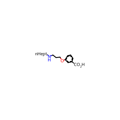 CCCCCCCNCCCOc1cccc(C(=O)O)c1